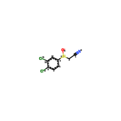 N#CC[S+]([O-])c1ccc(Cl)c(Cl)c1